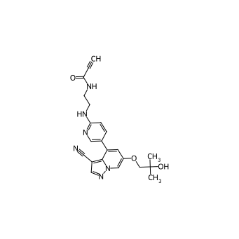 C#CC(=O)NCCNc1ccc(-c2cc(OCC(C)(C)O)cn3ncc(C#N)c23)cn1